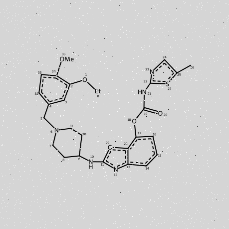 CCOc1cc(CN2CCC(Nc3nc4cccc(OC(=O)Nc5ncc(C)s5)c4o3)CC2)ccc1OC